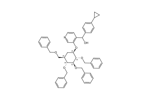 OC(c1ccc(C2CC2)cc1)c1ccncc1O[C@@H]1C[C@H](COCc2ccccc2)[C@@H](OCc2ccccc2)[C@H](OCc2ccccc2)[C@H]1OCc1ccccc1